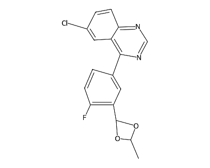 CC1OC(c2cc(-c3ncnc4ccc(Cl)cc34)ccc2F)O1